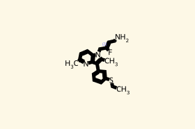 CCSc1cccc(-c2c(C)n(C/C(F)=C/CN)c3ccc(C)nc23)c1